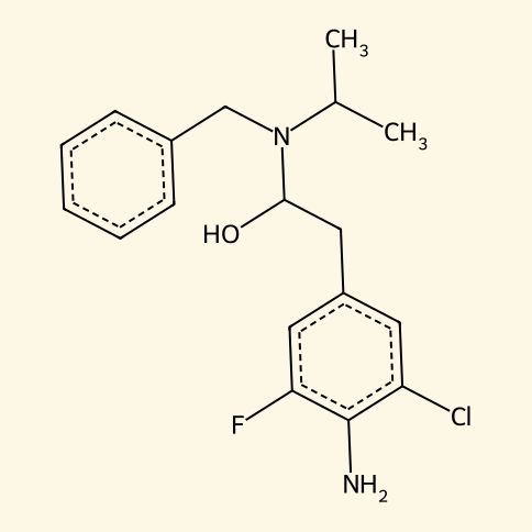 CC(C)N(Cc1ccccc1)C(O)Cc1cc(F)c(N)c(Cl)c1